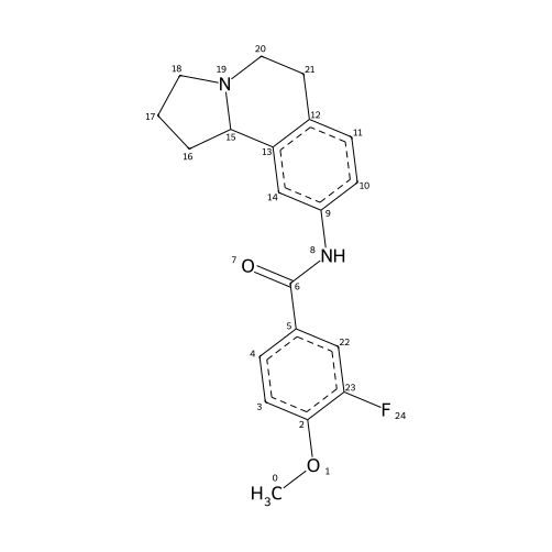 COc1ccc(C(=O)Nc2ccc3c(c2)C2CCCN2CC3)cc1F